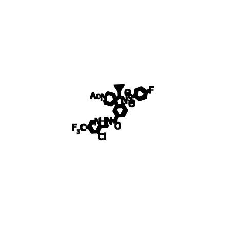 CC(=O)N1CCC2(CC1)c1cc(C(=O)NCc3ncc(C(F)(F)F)cc3Cl)ccc1N(S(=O)(=O)c1ccc(F)cc1)C2C1CC1